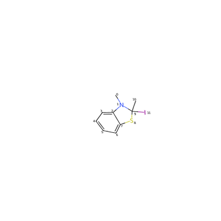 CN1c2ccccc2SC1(C)I